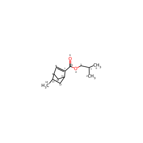 CC(C)COC(=O)C1=CC2CC1CC2C